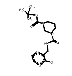 CC(C)(C)OC(=O)N1CCC[C@@H](C(=O)NCc2nccnc2Cl)C1